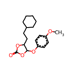 COc1ccc(OC2OC(=O)OC2CCC2CCCCC2)cc1